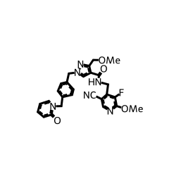 COCc1nn(Cc2ccc(Cn3ccccc3=O)cc2)cc1C(=O)NCc1c(C#N)cnc(OC)c1F